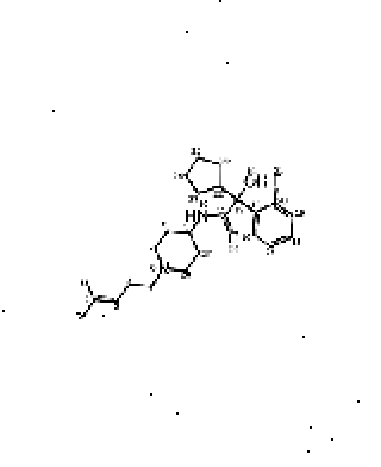 CC(C)=CCCN1CCC(NC(=O)C(O)(c2ccccc2F)C2CCCC2)CC1